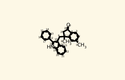 Cc1ccc2c(c1)C(C)(Cc1c(-c3ccccc3)[nH]c3ccccc13)CC2=O